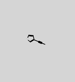 CC#Cc1cc[nH]c1